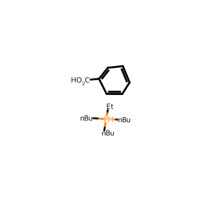 CCCC[PH](CC)(CCCC)CCCC.O=C(O)c1ccccc1